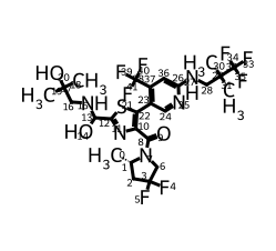 C[C@H]1CC(F)(F)CN1C(=O)c1nc(C(O)NCC(C)(C)O)sc1-c1cnc(NCC(C)(C)C(F)(F)F)cc1C(F)(F)F